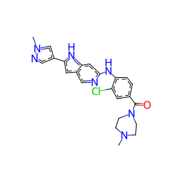 CN1CCN(C(=O)c2ccc(Nc3cc4[nH]c(-c5cnn(C)c5)cc4cn3)c(Cl)c2)CC1